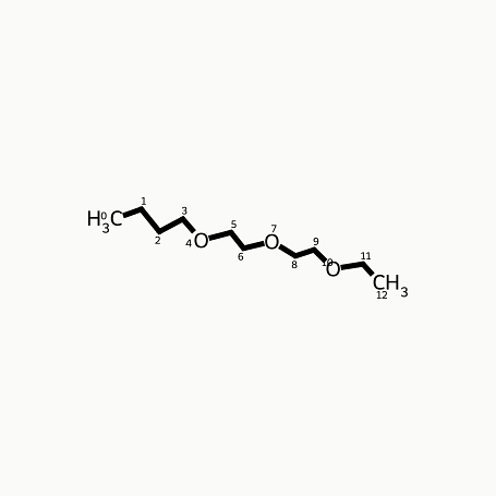 CCCCOCCOCCOCC